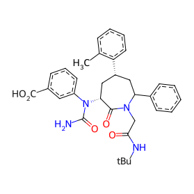 Cc1ccccc1[C@@H]1CC(c2ccccc2)N(CC(=O)NC(C)(C)C)C(=O)[C@H](N(C(N)=O)c2cccc(C(=O)O)c2)C1